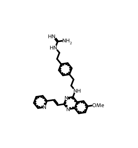 COc1ccc2nc(C=Cc3ccccn3)nc(NCCc3ccc(CCNC(=N)N)cc3)c2c1